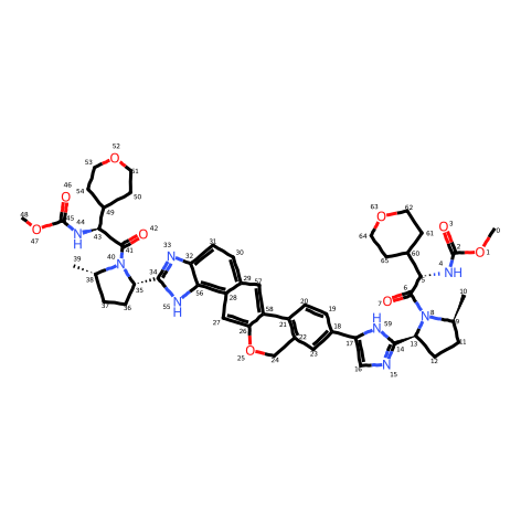 COC(=O)N[C@H](C(=O)N1[C@@H](C)CC[C@H]1c1ncc(-c2ccc3c(c2)COc2cc4c(ccc5nc([C@@H]6CC[C@H](C)N6C(=O)[C@@H](NC(=O)OC)C6CCOCC6)[nH]c54)cc2-3)[nH]1)C1CCOCC1